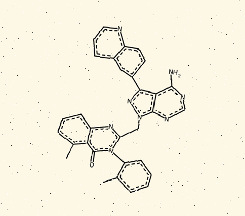 Cc1ccccc1-n1c(Cn2nc(-c3ccc4ncccc4c3)c3c(N)ncnc32)nc2cccc(C)c2c1=O